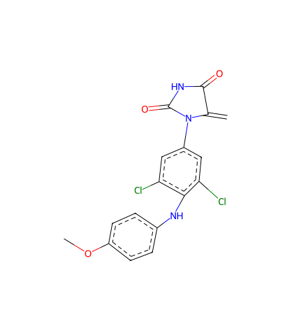 C=C1C(=O)NC(=O)N1c1cc(Cl)c(Nc2ccc(OC)cc2)c(Cl)c1